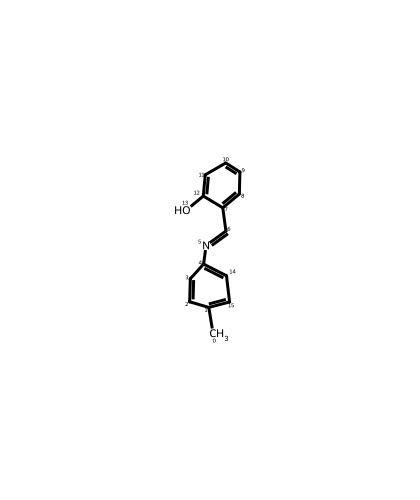 Cc1ccc(N=Cc2ccccc2O)cc1